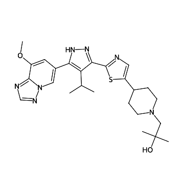 COc1cc(-c2[nH]nc(-c3ncc(C4CCN(CC(C)(C)O)CC4)s3)c2C(C)C)cn2ncnc12